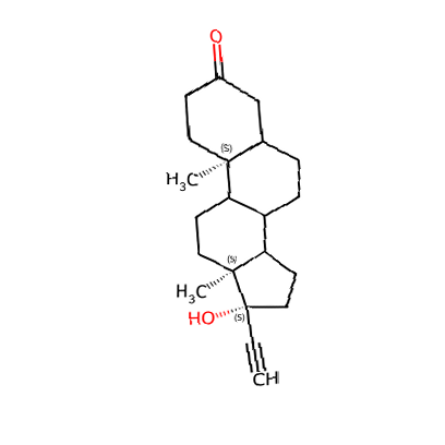 C#C[C@]1(O)CCC2C3CCC4CC(=O)CC[C@]4(C)C3CC[C@@]21C